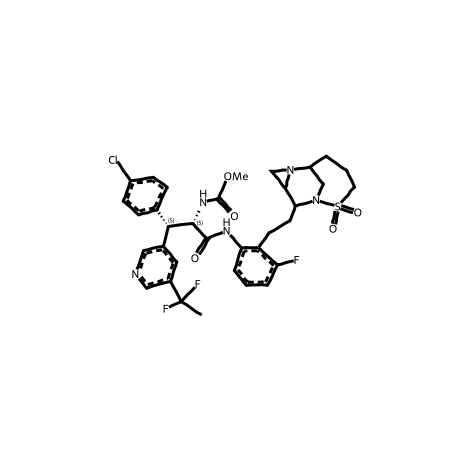 COC(=O)N[C@H](C(=O)Nc1cccc(F)c1CCC1C2CN2C2CCCS(=O)(=O)N1C2)[C@@H](c1ccc(Cl)cc1)c1cncc(C(C)(F)F)c1